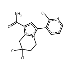 NC(=O)c1cc(-c2cccnc2Cl)n2c1CC(Cl)(Cl)CC2